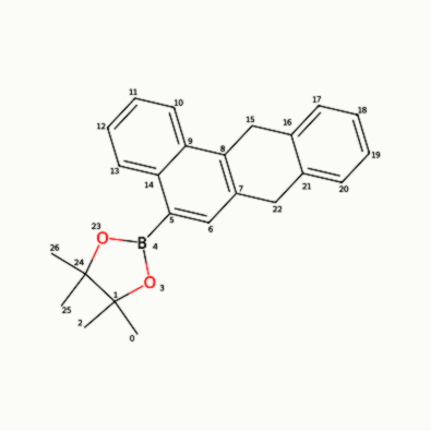 CC1(C)OB(c2cc3c(c4ccccc24)Cc2ccccc2C3)OC1(C)C